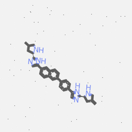 C=C1CN[C@H](c2ncc(-c3ccc(-c4ccc5cc(-c6cnc([C@@H]7CC(C)CN7)[nH]6)ccc5c4)cc3)[nH]2)C1